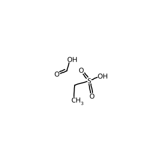 CCS(=O)(=O)O.O=CO